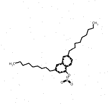 CCCCCCCCCc1ccc2c(O[SH](=O)=O)cc(CCCCCCCCC)cc2c1